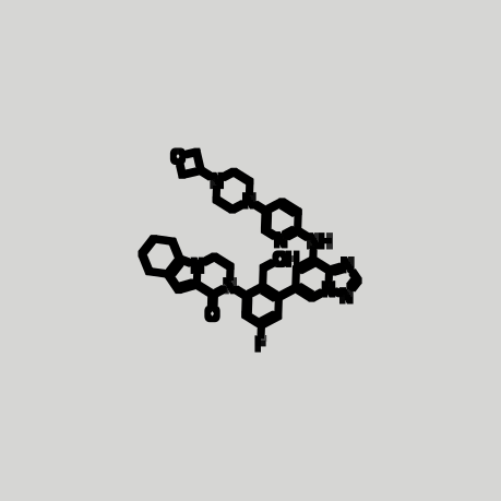 O=C1c2cc3c(n2CCN1c1cc(F)cc(-c2cc(Nc4ccc(N5CCN(C6COC6)CC5)cn4)c4ncnn4c2)c1CO)CCCC3